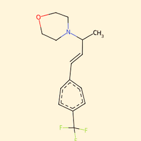 CC(/C=C/c1ccc(C(F)(F)F)cc1)N1CCOCC1